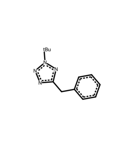 CC(C)(C)n1nnc(Cc2ccccc2)n1